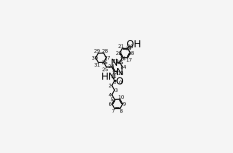 O=C(CCCc1ccccc1)Nc1ncc(-c2ccc(O)cc2)nc1CC1CCCCC1